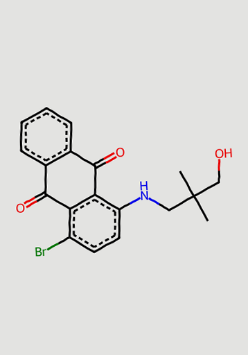 CC(C)(CO)CNc1ccc(Br)c2c1C(=O)c1ccccc1C2=O